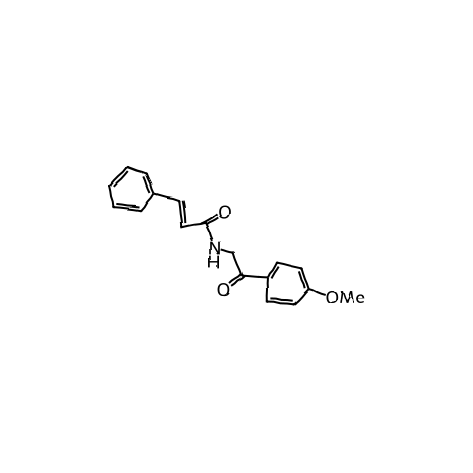 COc1ccc(C(=O)CNC(=O)C=Cc2ccccc2)cc1